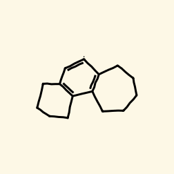 [c]1cc2c(c3c1CCCCC3)CCCC2